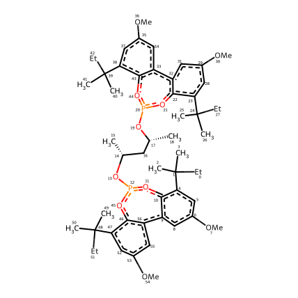 CCC(C)(C)c1cc(OC)cc2c1op(O[C@H](C)C[C@@H](C)Op1oc3c(C(C)(C)CC)cc(OC)cc3c3cc(OC)cc(C(C)(C)CC)c3o1)oc1c(C(C)(C)CC)cc(OC)cc12